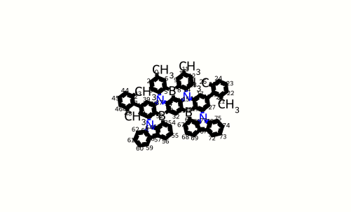 Cc1ccc2c(c1)B1c3cc(C)ccc3N3c4cc(-c5c(C)cccc5C)cc5c4B(c4cc6c(c1c43)N2c1cc(-c2c(C)cccc2C)cc2c1B6c1cccc3c4ccccc4n-2c13)c1cccc2c3ccccc3n-5c12